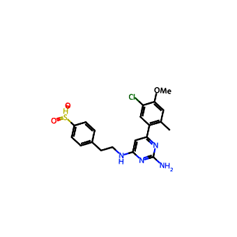 COc1cc(C)c(-c2cc(NCCc3ccc([SH](=O)=O)cc3)nc(N)n2)cc1Cl